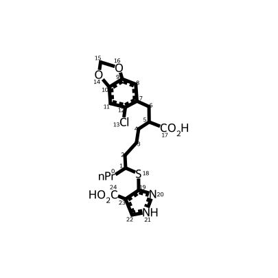 CCCC(CCCC(Cc1cc2c(cc1Cl)OCO2)C(=O)O)Sc1n[nH]cc1C(=O)O